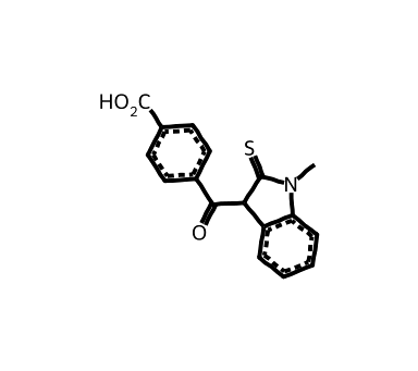 CN1C(=S)C(C(=O)c2ccc(C(=O)O)cc2)c2ccccc21